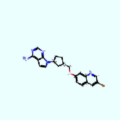 Nc1ncnc2c1ccn2[C@H]1CC[C@@H](COc2ccc3cc(Br)cnc3c2)C1